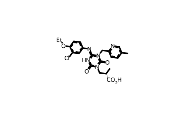 CCOc1ccc(/N=c2\[nH]c(=O)n(C[C@H](C)C(=O)O)c(=O)n2Cc2ccc(C)cn2)cc1Cl